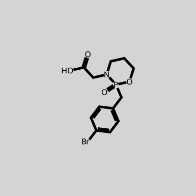 O=C(O)CN1CCCOP1(=O)Cc1ccc(Br)cc1